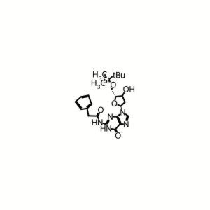 CC(C)(C)[Si](C)(C)OC[C@H]1O[C@@H](n2cnc3c(=O)[nH]c(NC(=O)Cc4ccccc4)nc32)CC1O